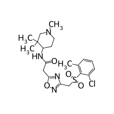 Cc1cccc(Cl)c1S(=O)(=O)Cc1noc(CC(=O)NC2CCN(C)CC2(C)C)n1